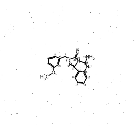 COc1cccc(Cn2nc3c4ccccc4nc(N)n3c2=O)c1